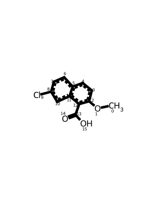 COc1ccc2ccc(Cl)cc2c1C(=O)O